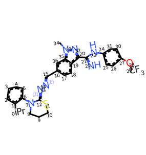 CC(C)c1ccccc1N1CCCS/C1=N\N=C\c1ccc2c(C(=N)Nc3ccc(OC(F)(F)F)cc3)nn(C)c2c1